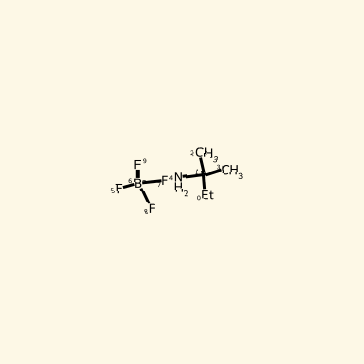 CCC(C)(C)N.F[B-](F)(F)F